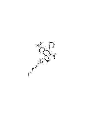 C=CCCCCNCc1nnc(CN(C)C)n1-c1ccc([N+](=O)[O-])cc1C(=O)c1ccccc1